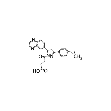 COc1ccc(C2=NN(C(=O)CCC(=O)O)C(c3ccc4nccnc4c3)C2)cc1